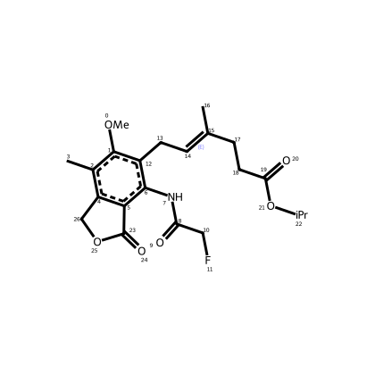 COc1c(C)c2c(c(NC(=O)CF)c1C/C=C(\C)CCC(=O)OC(C)C)C(=O)OC2